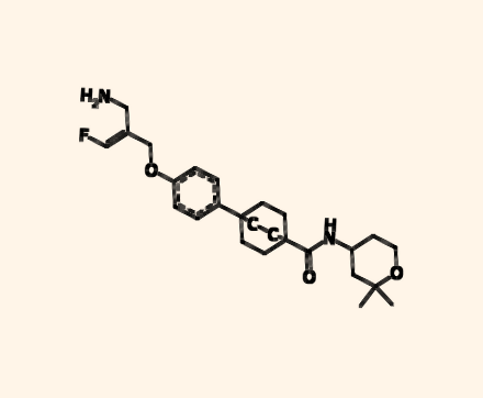 CC1(C)CC(NC(=O)C23CCC(c4ccc(OCC(=CF)CN)cc4)(CC2)CC3)CCO1